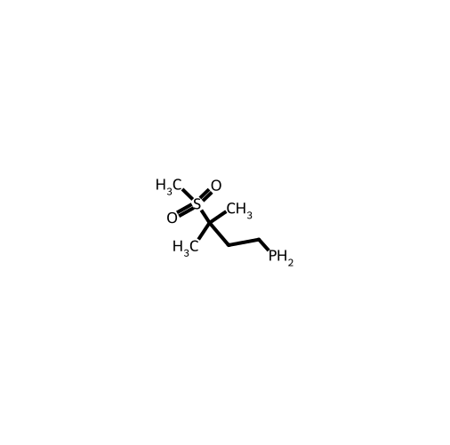 CC(C)(CCP)S(C)(=O)=O